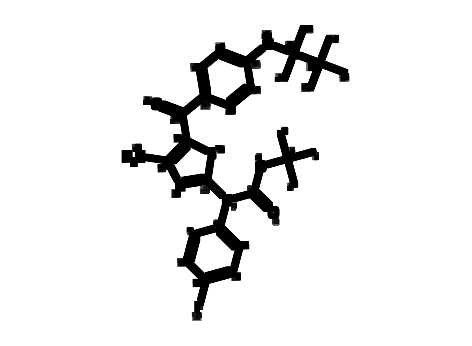 CC(C)(C)OC(=O)N(c1ccc(F)cc1)c1nc(N)c(C(=O)c2ccc(O[Si](C)(C)C(C)(C)C)cc2)s1